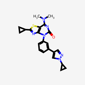 CN(C)c1nc(=O)n(-c2cccc(-c3cnn(C4CC4)c3)c2)c2nc(C3CC3)sc12